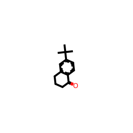 CC(C)(C)c1ccc2c(c1)CCCC2=O